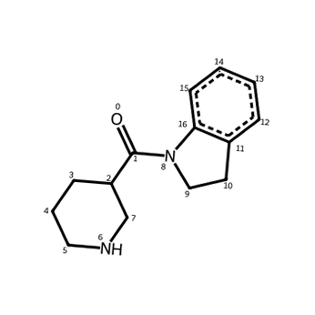 O=C(C1CCCNC1)N1CCc2cc[c]cc21